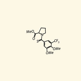 COC(=O)C1CCCN1C(=S)c1cc(OC)c(OC)c(C(F)(F)F)c1